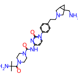 CC(C)(N)C(=O)N1CCN(C(=O)Nc2ccn(-c3ccc(CCN4CC5CC5(CN)C4)cc3)c(=O)n2)CC1